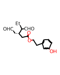 CCC(C=O)[C@@H](CC=O)CC(=O)OCCc1cccc(O)c1